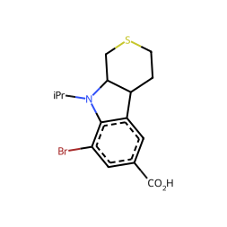 CC(C)N1c2c(Br)cc(C(=O)O)cc2C2CCSCC21